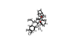 Cc1cc(N2CC3CCC(C2)C3Nc2nc(Oc3ccc(F)c(Cl)c3)n(CCF)n2)ncn1